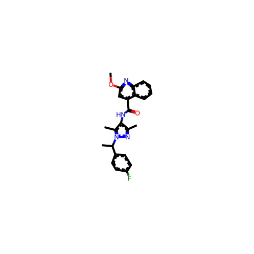 COc1cc(C(=O)Nc2c(C)nn(C(C)c3ccc(F)cc3)c2C)c2ccccc2n1